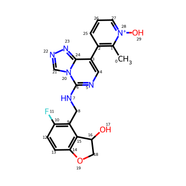 Cc1c(-c2cnc(NCc3c(F)ccc4c3C(O)CO4)n3cnnc23)ccc[n+]1O